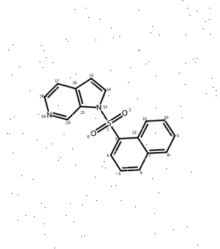 O=S(=O)(c1cccc2ccccc12)n1ccc2ccncc21